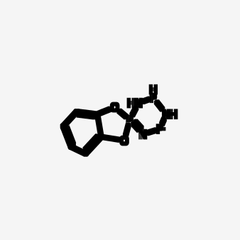 c1ccc2c(c1)OP1(=N[P]NPN1)O2